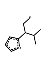 CC(C)C(CF)c1ccco1